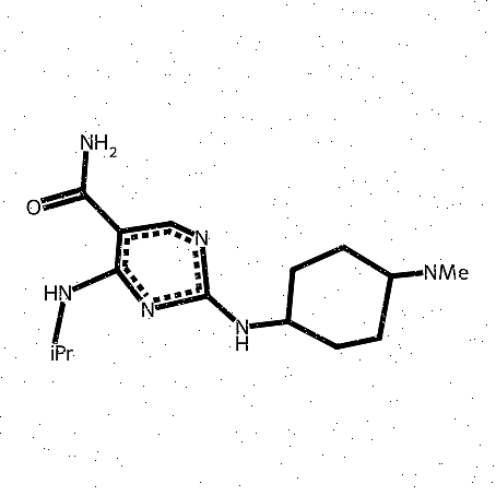 CNC1CCC(Nc2ncc(C(N)=O)c(NC(C)C)n2)CC1